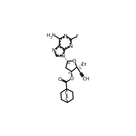 C#C[C@]1(CC)O[C@@H](n2cnc3c(N)nc(F)nc32)C[C@@H]1OC(=O)C12CCC(CC1)CC2